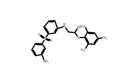 Cc1cc(C)c(OC(O)CNc2cccc(S(=O)(=O)c3cccc(N)c3)c2)c(C)c1